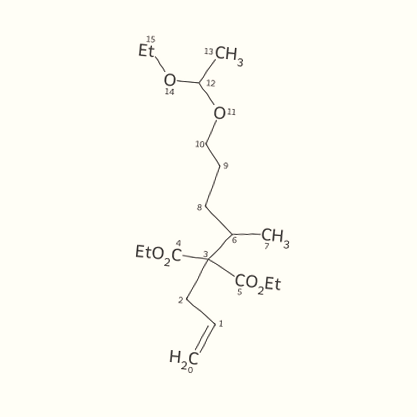 C=CCC(C(=O)OCC)(C(=O)OCC)C(C)CCCOC(C)OCC